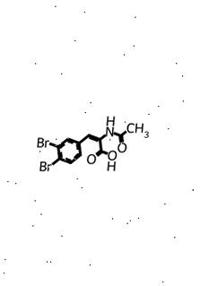 CC(=O)N/C(=C/c1ccc(Br)c(Br)c1)C(=O)O